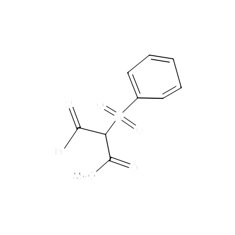 COC(=O)C(C(=O)C(C)C)S(=O)(=O)c1ccccc1